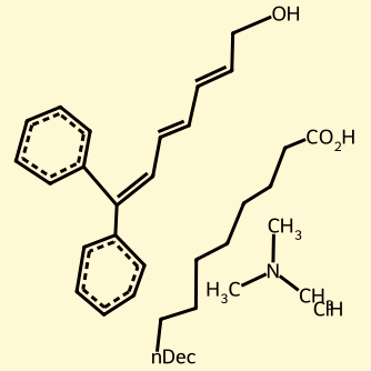 CCCCCCCCCCCCCCCCCC(=O)O.CN(C)C.Cl.OC/C=C/C=C/C=C(c1ccccc1)c1ccccc1